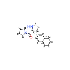 O=C([C@@H]1NCC[C@@H]1c1ccc2ccccc2c1)N1CCCC1